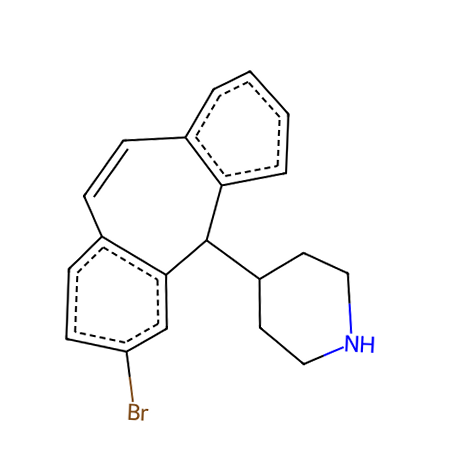 Brc1ccc2c(c1)C(C1CCNCC1)c1ccccc1C=C2